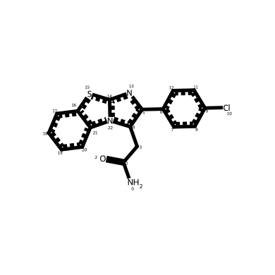 NC(=O)Cc1c(-c2ccc(Cl)cc2)nc2sc3ccccc3n12